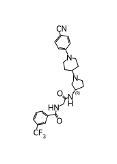 N#Cc1ccc(N2CCC(N3CC[C@@H](NC(=O)CNC(=O)c4cccc(C(F)(F)F)c4)C3)CC2)cc1